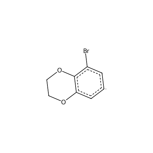 Brc1c[c]cc2c1OCCO2